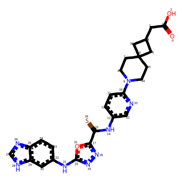 O=C(O)CC1CC2(CCN(c3ccc(NC(=S)c4nnc(Nc5ccc6nc[nH]c6c5)o4)cn3)CC2)C1